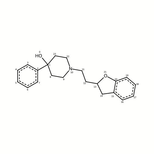 OC1(c2ccccc2)CCN(CCC2Cc3ccccc3O2)CC1